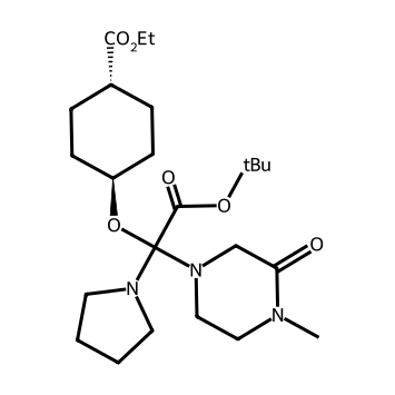 CCOC(=O)[C@H]1CC[C@H](OC(C(=O)OC(C)(C)C)(N2CCCC2)N2CCN(C)C(=O)C2)CC1